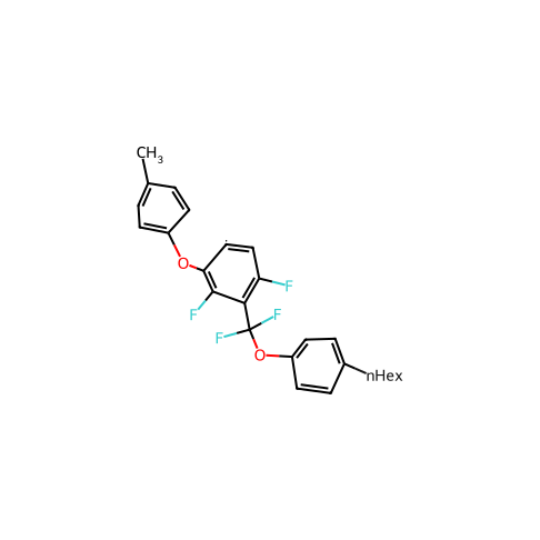 CCCCCCc1ccc(OC(F)(F)c2c(F)c[c]c(Oc3ccc(C)cc3)c2F)cc1